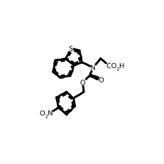 O=C(O)CN(C(=O)OCc1ccc([N+](=O)[O-])cc1)c1csc2ccccc12